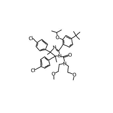 COCCN(CCOC)C(=O)N1C(c2ccc(C(C)(C)C)cc2OC(C)C)=NC(C)(c2ccc(Cl)cc2)C1(C)c1ccc(Cl)cc1